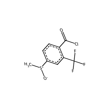 C[S+]([O-])c1ccc(C(=O)Cl)c(C(F)(F)F)c1